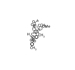 CO[C@@H]1CCN(c2nc(-c3c(C)ccc4c3c(C)nn4S(=O)(=O)c3ccc(C)cc3)nc3c2CN(C(=O)CC(=O)C2CC2)CC3)CC1(C)C